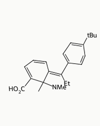 CCC(=C1C=CC=C(C(=O)O)C1(C)NC)c1ccc(C(C)(C)C)cc1